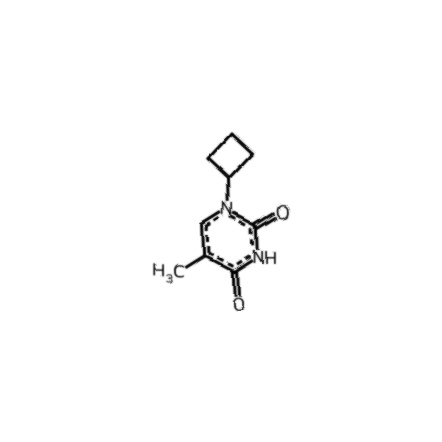 Cc1cn(C2CCC2)c(=O)[nH]c1=O